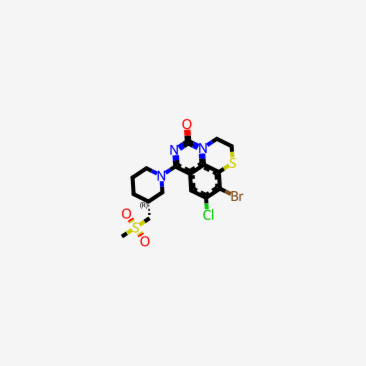 CS(=O)(=O)C[C@@H]1CCCN(c2nc(=O)n3c4c(c(Br)c(Cl)cc24)SCC3)C1